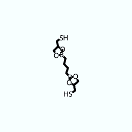 SCC1COB(CCCCB2OCC(CS)O2)O1